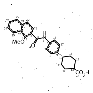 COc1c(C(=O)Nc2ccc([C@H]3CC[C@H](C(=O)O)CC3)cc2)ccc2ccccc12